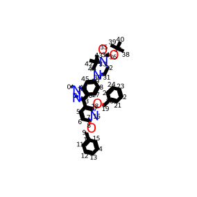 Cn1nc(-c2ccc(OCc3ccccc3)nc2OCc2ccccc2)c2ccc(N3CCN(C(=O)OC(C)(C)C)C(C)(C)C3)cc21